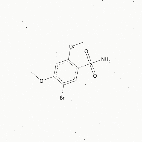 COc1cc(OC)c(S(N)(=O)=O)cc1Br